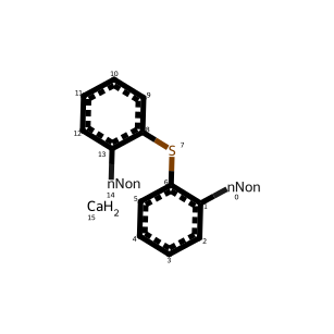 CCCCCCCCCc1ccccc1Sc1ccccc1CCCCCCCCC.[CaH2]